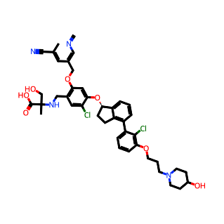 C=N/C=C(\C=C(/C)C#N)COc1cc(O[C@H]2CCc3c(-c4cccc(OCCCN5CCC(O)CC5)c4Cl)cccc32)c(Cl)cc1CNC(C)(CO)C(=O)O